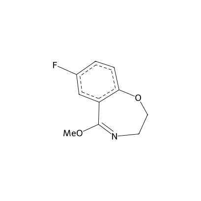 COC1=NCCOc2ccc(F)cc21